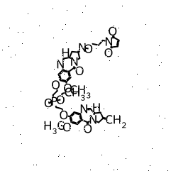 C=C1C[C@H]2C=Nc3cc(OCCP(=O)(CCOc4cc5c(cc4OC)C(=O)N4CC(=NOCCCN6C(=O)C=CC6=O)C[C@H]4C=N5)OCC)c(OC)cc3C(=O)N2C1